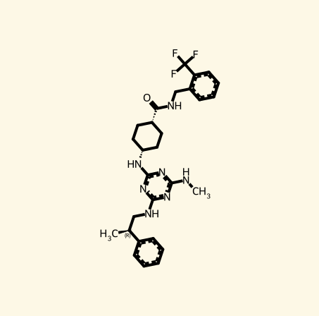 CNc1nc(NC[C@H](C)c2ccccc2)nc(N[C@H]2CC[C@@H](C(=O)NCc3ccccc3C(F)(F)F)CC2)n1